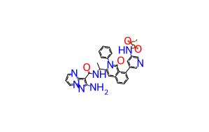 CC(NC(=O)c1c(N)nn2cccnc12)c1cc2cccc(-c3cncc(NS(C)(=O)=O)c3)c2c(=O)n1-c1ccccc1